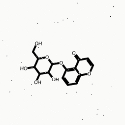 O=c1ccoc2cccc(OC3OC(CO)C(O)C(O)C3O)c12